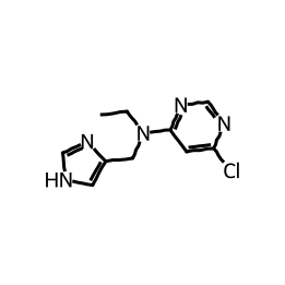 CCN(Cc1c[nH]cn1)c1cc(Cl)ncn1